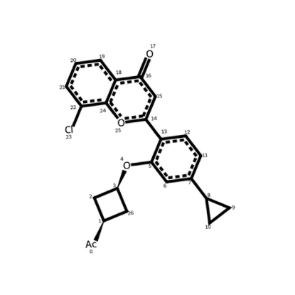 CC(=O)[C@H]1C[C@@H](Oc2cc(C3CC3)ccc2-c2cc(=O)c3cccc(Cl)c3o2)C1